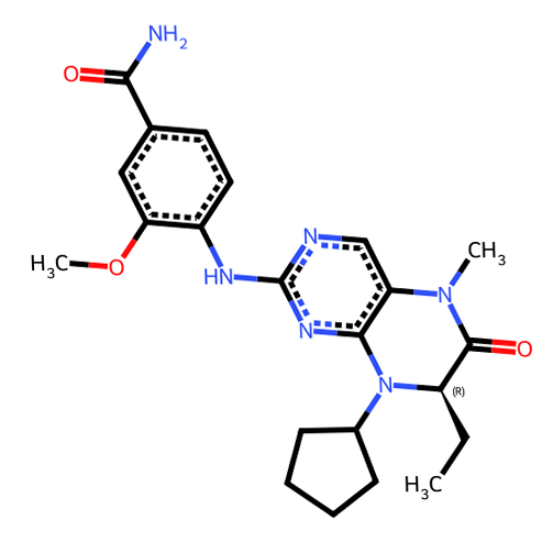 CC[C@@H]1C(=O)N(C)c2cnc(Nc3ccc(C(N)=O)cc3OC)nc2N1C1CCCC1